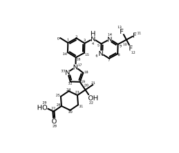 Cc1cc(Nc2nccc(C(F)(F)F)n2)cc(-n2cc(C(C)(O)C3CCC(C(=O)O)CC3)cn2)c1